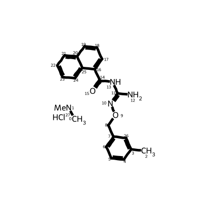 CNC.Cc1cccc(CON=C(N)NC(=O)c2cccc3ccccc23)c1.Cl